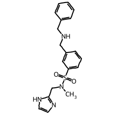 CN(Cc1ncc[nH]1)S(=O)(=O)c1cccc(CNCc2ccccc2)c1